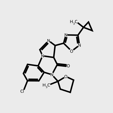 CC1(c2noc(C3N=CN4c5ccc(Cl)cc5N(C5(C)CCCO5)C(=O)C34)n2)CC1